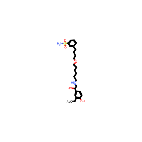 CC(=O)OCc1cc(C(O)CNCCCCCCOCCCCc2cccc(S(N)(=O)=O)c2)ccc1O